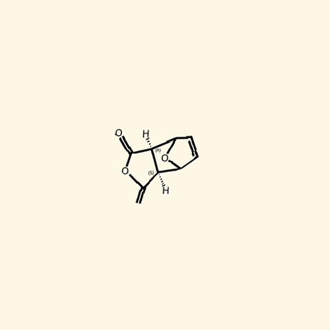 C=C1OC(=O)[C@H]2C3C=CC(O3)[C@@H]12